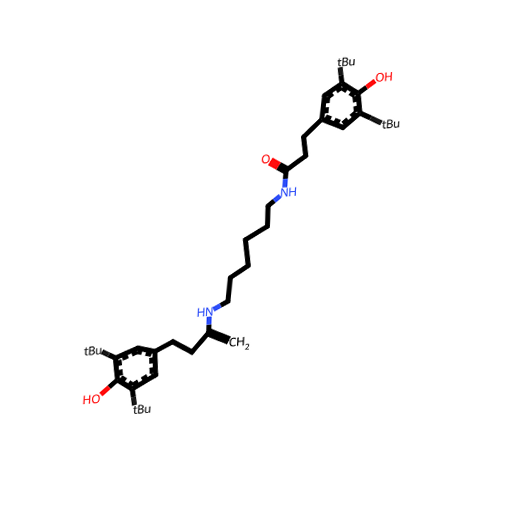 C=C(CCc1cc(C(C)(C)C)c(O)c(C(C)(C)C)c1)NCCCCCCNC(=O)CCc1cc(C(C)(C)C)c(O)c(C(C)(C)C)c1